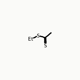 CCSC(C)=S